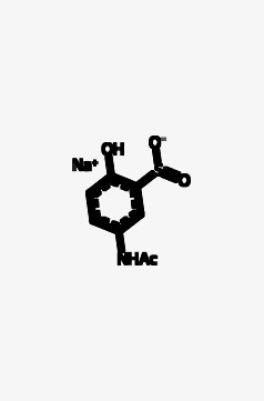 CC(=O)Nc1ccc(O)c(S(=O)[O-])c1.[Na+]